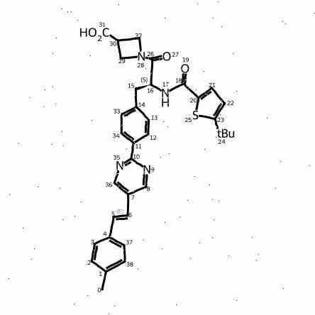 Cc1ccc(/C=C/c2cnc(-c3ccc(C[C@H](NC(=O)c4ccc(C(C)(C)C)s4)C(=O)N4CC(C(=O)O)C4)cc3)nc2)cc1